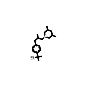 CCC(C)(C)c1ccc(CC(C)CN2CC(C)CC(C)C2)cc1